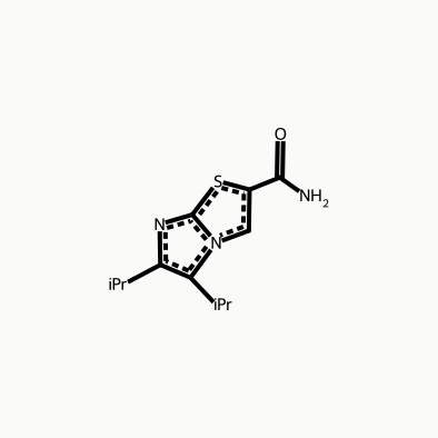 CC(C)c1nc2sc(C(N)=O)cn2c1C(C)C